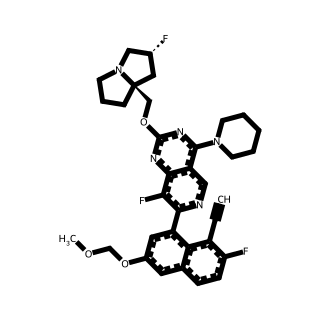 C#Cc1c(F)ccc2cc(OCOC)cc(-c3ncc4c(N5CCCCC5)nc(OC[C@@]56CCCN5C[C@H](F)C6)nc4c3F)c12